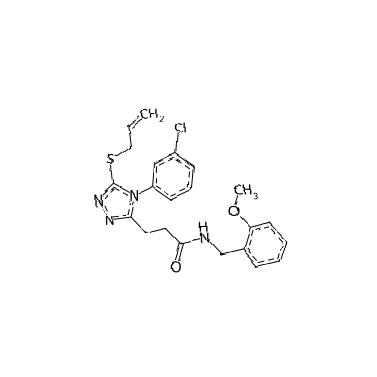 C=CCSc1nnc(CCC(=O)NCc2ccccc2OC)n1-c1cccc(Cl)c1